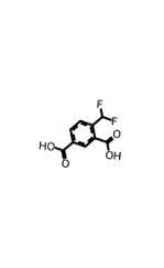 O=C(O)c1ccc(C(F)F)c(C(=O)O)c1